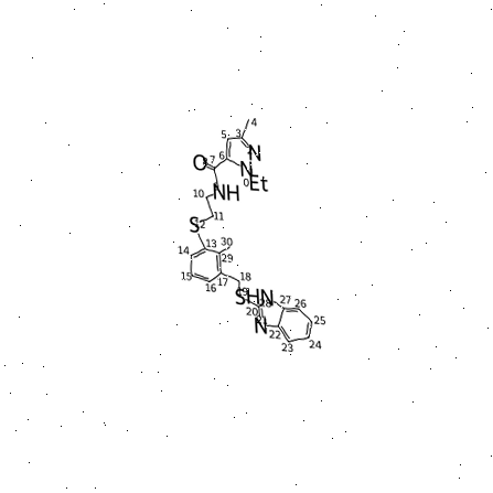 CCn1nc(C)cc1C(=O)NCCSc1cccc(CSc2nc3ccccc3[nH]2)c1C